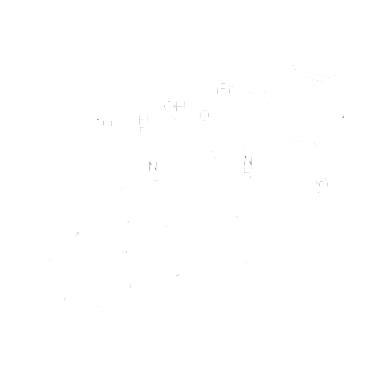 CC(C)c1cccc(C(C)C)c1NC(=O)CN(CC(c1ccccc1)c1ccccc1)[PH](=O)O